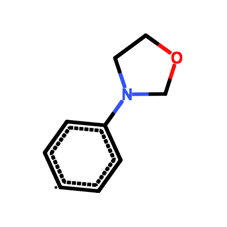 [c]1ccc(N2CCOC2)cc1